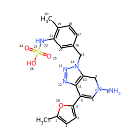 Cc1ccc(C2=CN(N)Cc3c2nnn3Cc2ccc(C)c(NS(=O)(=O)O)c2)o1